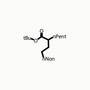 CCCCCCCCCCCC(CCCCC)C(=O)OC(C)(C)C